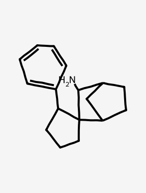 NC1C2CCC(C2)C12CCCC2c1ccccc1